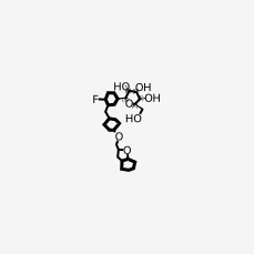 OC[C@H]1O[C@@H](c2ccc(F)c(Cc3ccc(OCC4Cc5ccccc5O4)cc3)c2)[C@H](O)[C@@H](O)[C@@H]1O